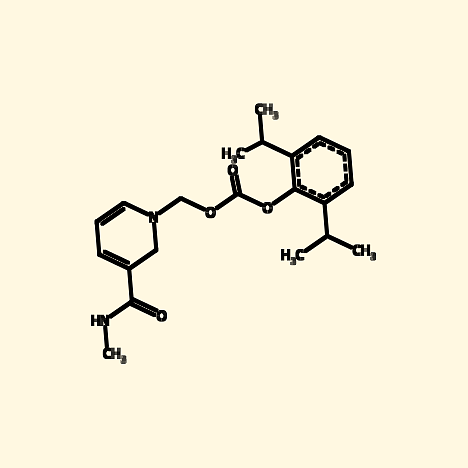 CNC(=O)C1=CC=CN(COC(=O)Oc2c(C(C)C)cccc2C(C)C)C1